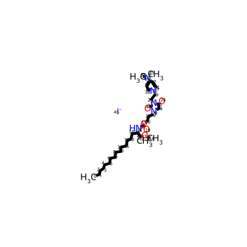 CCCCCCCCCCCCCCCC(NC(=O)OCCCN1CC(=O)N(CC[n+]2ccc(N(C)C)cc2)C1=O)C(C)OC.[I-]